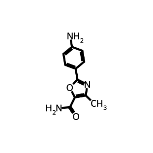 Cc1nc(-c2ccc(N)cc2)oc1C(N)=O